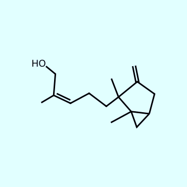 C=C1CC2CC2(C)C1(C)CC/C=C(/C)CO